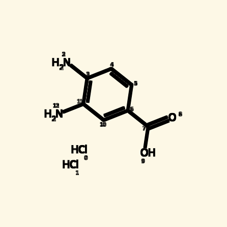 Cl.Cl.Nc1ccc(C(=O)O)cc1N